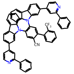 N#Cc1cc(-n2c3ccccc3c3ccc(-c4ccnc(-c5ccccc5)c4)cc32)c(-n2c3ccccc3c3ccc(-c4ccnc(-c5ccccc5)c4)cc32)cc1-c1ccccc1C(F)(F)F